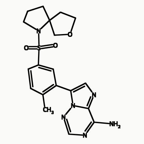 Cc1ccc(S(=O)(=O)N2CCCC23CCOC3)cc1-c1cnc2c(N)ncnn12